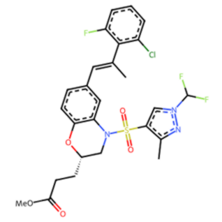 COC(=O)CC[C@H]1CN(S(=O)(=O)c2cn(C(F)F)nc2C)c2cc(C=C(C)c3c(F)cccc3Cl)ccc2O1